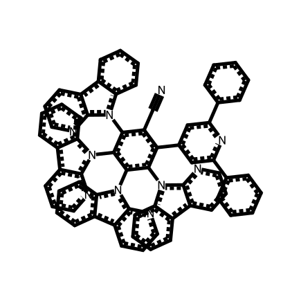 N#Cc1c(-c2cc(-c3ccccc3)nc(-c3ccccc3)c2)c(-n2c3ccccc3c3cccnc32)c(-n2c3ccccc3c3cccnc32)c(-n2c3ccccc3c3cccnc32)c1-n1c2ccccc2c2cccnc21